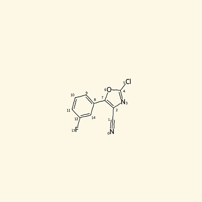 N#Cc1nc(Cl)oc1-c1cccc(F)c1